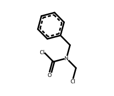 O=C(Cl)N(CCl)Cc1ccccc1